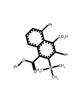 CC(C)OC(=O)c1c([Si](C)(C)C)c(C(C)C)c(C(=O)O)c2c(C(C)C)cccc12